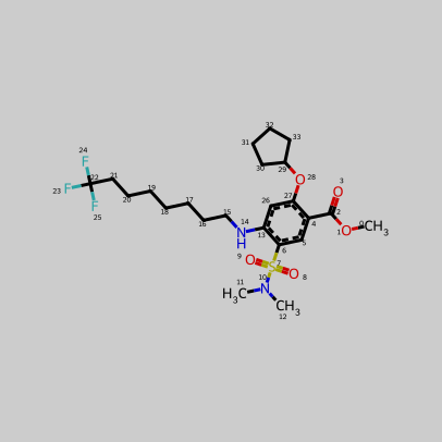 COC(=O)c1cc(S(=O)(=O)N(C)C)c(NCCCCCCCC(F)(F)F)cc1OC1CCCC1